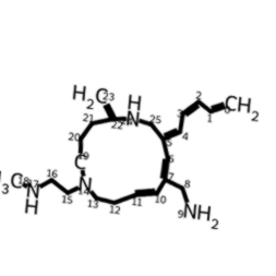 C=C\C=C/C=C1/C=C(CN)\C=C\CCN(CCNC)CCCC(=C)NC1